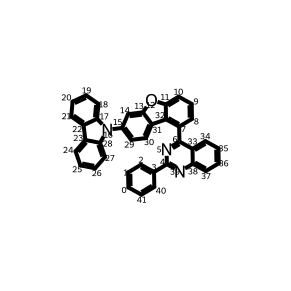 c1ccc(-c2nc(-c3cccc4oc5cc(-n6c7ccccc7c7ccccc76)ccc5c34)c3ccccc3n2)cc1